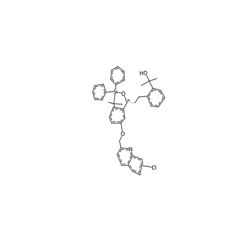 CC(C)(O)c1ccccc1CC[C@@H](O[Si](c1ccccc1)(c1ccccc1)C(C)(C)C)c1cccc(OCc2ccc3ccc(Cl)cc3n2)c1